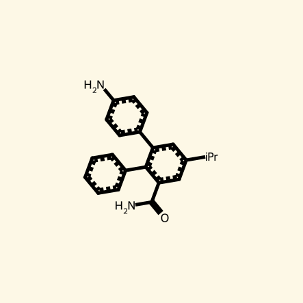 CC(C)c1cc(C(N)=O)c(-c2ccccc2)c(-c2ccc(N)cc2)c1